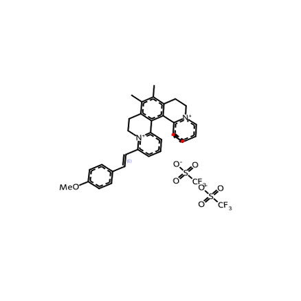 COc1ccc(/C=C/c2cccc3[n+]2CCc2c(C)c(C)c4c(c2-3)-c2c3ccccc3cc[n+]2CC4)cc1.O=S(=O)([O-])C(F)(F)F.O=S(=O)([O-])C(F)(F)F